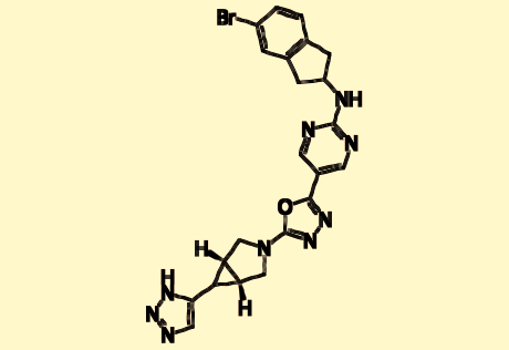 Brc1ccc2c(c1)CC(Nc1ncc(-c3nnc(N4C[C@@H]5C(c6cnn[nH]6)[C@@H]5C4)o3)cn1)C2